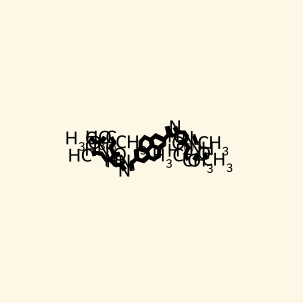 C#CCCN(Cc1ncc(-c2cc3c4c(c2)CCc2cc(-c5cnc(CN(CCC)C(=O)[C@@H](NC(=O)OC)C(C)C)[nH]5)cc(c2-4)CC3)[nH]1)C(=O)[C@@H](NC(=O)OC)C(C)C